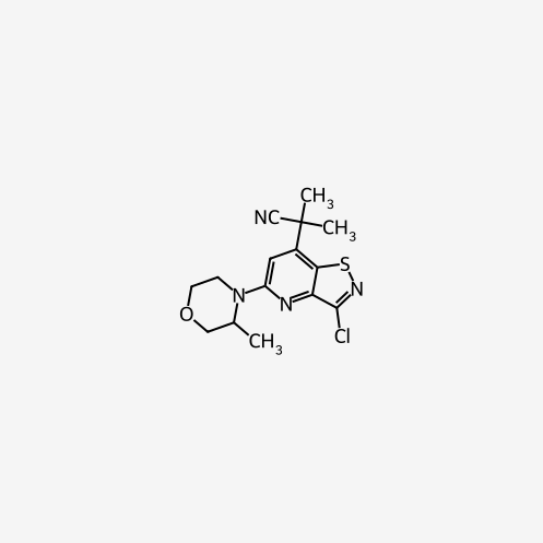 CC1COCCN1c1cc(C(C)(C)C#N)c2snc(Cl)c2n1